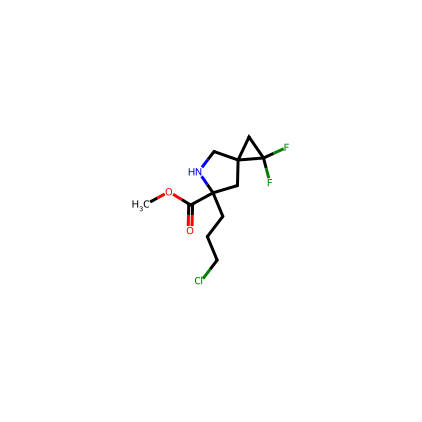 COC(=O)C1(CCCCl)CC2(CN1)CC2(F)F